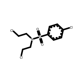 O=S(=O)(c1ccc(Cl)cc1)N(CCCl)CCCl